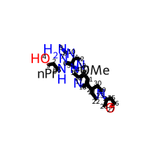 CCC[C@@H](CCO)Nc1nc(N)nc2cnn(Cc3ncc(C4CCN(C5CCOC5)CC4)cc3OC)c12